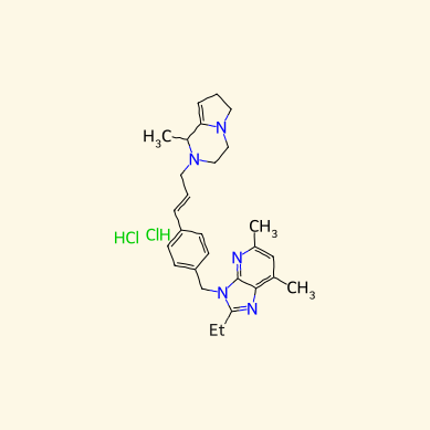 CCc1nc2c(C)cc(C)nc2n1Cc1ccc(C=CCN2CCN3CCC=C3C2C)cc1.Cl.Cl